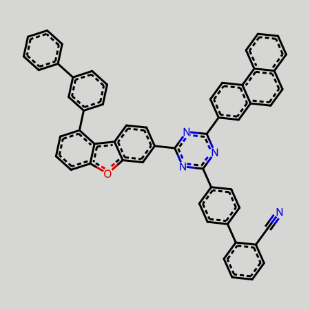 N#Cc1ccccc1-c1ccc(-c2nc(-c3ccc4c(ccc5ccccc54)c3)nc(-c3ccc4c(c3)oc3cccc(-c5cccc(-c6ccccc6)c5)c34)n2)cc1